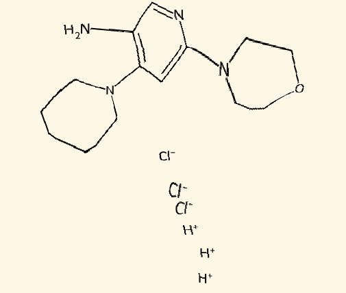 Nc1cnc(N2CCOCC2)cc1N1CCCCC1.[Cl-].[Cl-].[Cl-].[H+].[H+].[H+]